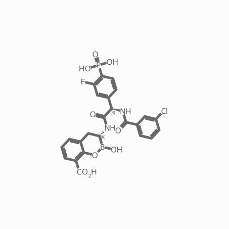 O=C(N[C@@H](C(=O)N[C@H]1Cc2cccc(C(=O)O)c2OB1O)c1ccc(P(=O)(O)O)c(F)c1)c1cccc(Cl)c1